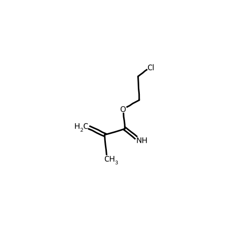 C=C(C)C(=N)OCCCl